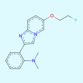 CN(C)c1ccccc1-c1cn2cc(OCCF)ccc2n1